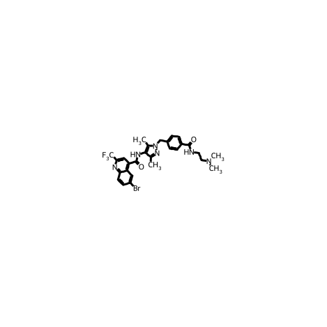 Cc1nn(Cc2ccc(C(=O)NCCN(C)C)cc2)c(C)c1NC(=O)c1cc(C(F)(F)F)nc2ccc(Br)cc12